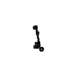 OC(CNCCCCCCOCCc1cccs1)c1ccccc1